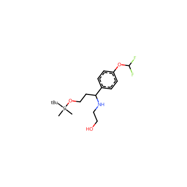 CC(C)(C)[Si](C)(C)OCCC(NCCO)c1ccc(OC(F)F)cc1